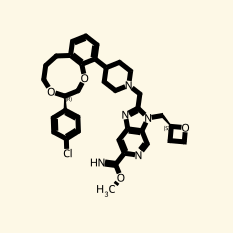 COC(=N)c1cc2nc(CN3CCC(c4cccc5c4OC[C@@H](c4ccc(Cl)cc4)OCCC5)CC3)n(C[C@@H]3CCO3)c2cn1